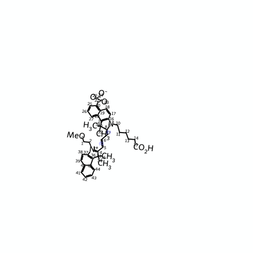 COCC[N+]1=C(/C=C/C=C2/N(CCCCCC(=O)O)c3ccc4c(S(=O)(=O)[O-])cccc4c3C2(C)C)C(C)(C)c2c1ccc1ccccc21